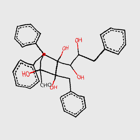 O=CC(O)(Cc1ccccc1)C(O)(Cc1ccccc1)C(O)(Cc1ccccc1)C(O)C(O)Cc1ccccc1